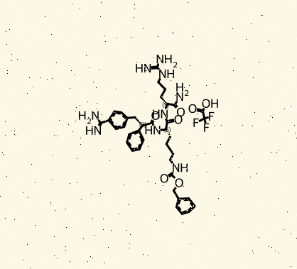 N=C(N)NCCC[C@H](NC(=O)[C@H](CCCCNC(=O)OCc1ccccc1)NC(=O)[C@H](Cc1ccc(C(=N)N)cc1)c1ccccc1)C(N)=O.O=C(O)C(F)(F)F